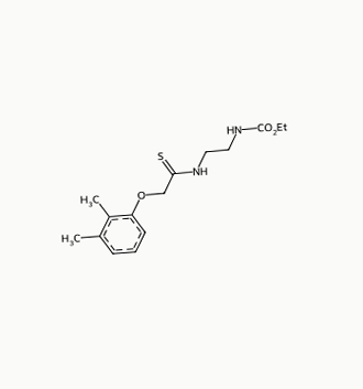 CCOC(=O)NCCNC(=S)COc1cccc(C)c1C